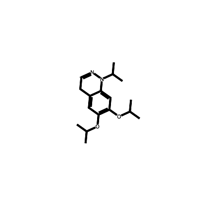 CC(C)Oc1cc2c(cc1OC(C)C)N(C(C)C)N=[C]C2